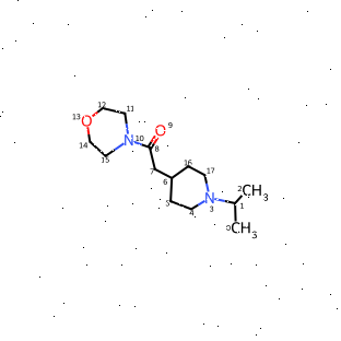 CC(C)N1CCC(CC(=O)N2CCOCC2)CC1